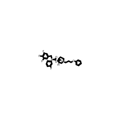 O=C(O[C@H]1C[N+]2(CCCOc3ccccc3)CCC1CC2)N(Cc1cc(F)c(F)c(F)c1)c1cccc(F)c1